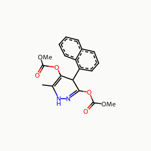 COC(=O)OC1=NNC(C)=C(OC(=O)OC)C1c1cccc2ccccc12